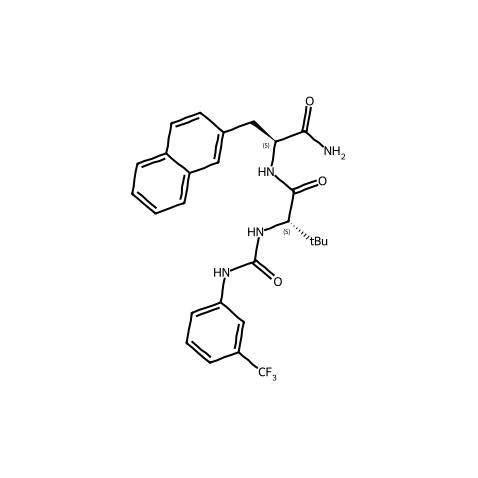 CC(C)(C)[C@H](NC(=O)Nc1cccc(C(F)(F)F)c1)C(=O)N[C@@H](Cc1ccc2ccccc2c1)C(N)=O